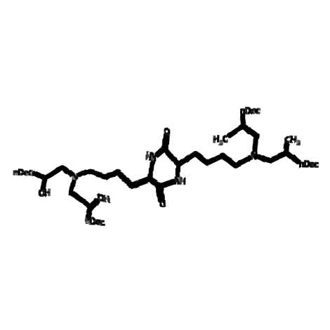 CCCCCCCCCCC(C)CN(CCCCC1NC(=O)C(CCCCN(CC(O)CCCCCCCCCC)CC(O)CCCCCCCCCC)NC1=O)CC(C)CCCCCCCCCC